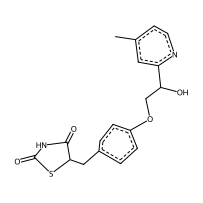 Cc1ccnc(C(O)COc2ccc(CC3SC(=O)NC3=O)cc2)c1